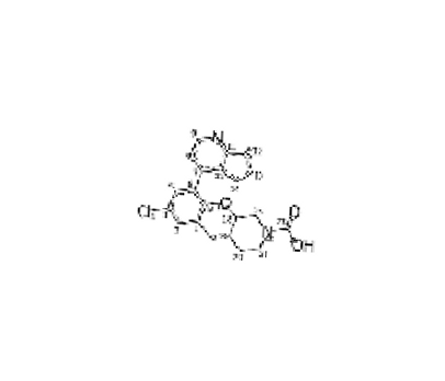 Cc1cc(Cl)cc(-c2ccnc3sccc23)c1OC1CCCN(C(=O)O)C1